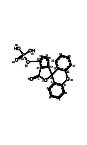 O=C1OC2(c3ccccc3Oc3ccccc32)c2cccc(OP(=O)(O)O)c21